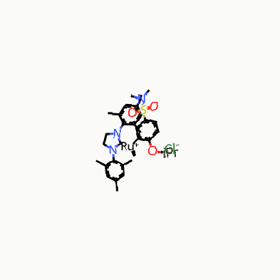 [CH2]=[Ru+](=[C]1N(c2c(C)cc(C)cc2C)CCN1c1c(C)cc(C)cc1C)[c]1cc(S(=O)(=O)N(C)C)ccc1OC(C)C.[Cl-]